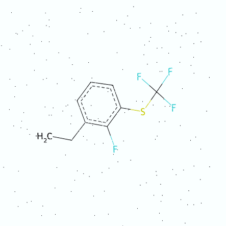 [CH2]Cc1cccc(SC(F)(F)F)c1F